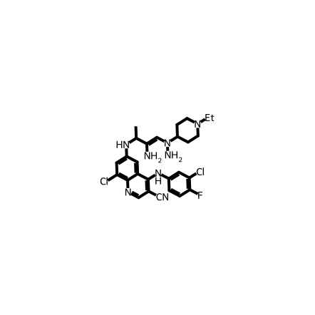 CCN1CCC(N(N)/C=C(\N)C(C)Nc2cc(Cl)c3ncc(C#N)c(Nc4ccc(F)c(Cl)c4)c3c2)CC1